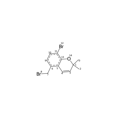 CC1(C)C=Cc2c(CBr)ccc(Br)c2O1